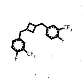 Fc1ccc(CC2CC(Cc3ccc(F)c(C(F)(F)F)c3)C2)cc1C(F)(F)F